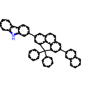 c1ccc(C2(c3ccccc3)c3cc(-c4ccc5ccccc5c4)cc4ccc5cc(-c6ccc7c(c6)[nH]c6ccccc67)cc2c5c34)cc1